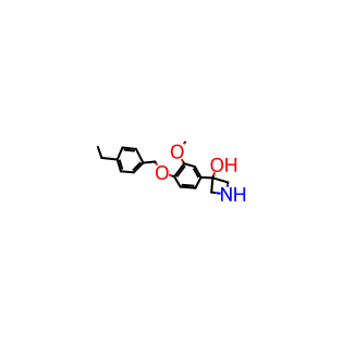 CCc1ccc(COc2ccc(C3(O)CNC3)cc2OC)cc1